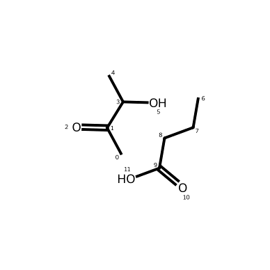 CC(=O)C(C)O.CCCC(=O)O